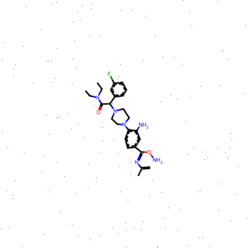 C=C(C)/N=C(\ON)c1ccc(N2CCN(C(C(=O)N(CC)CC)c3cccc(F)c3)CC2)c(N)c1